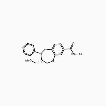 COC[C@H]1COc2cc(C(=O)NO)ccc2CN1c1ccccc1